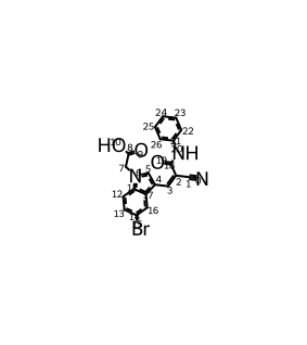 N#CC(=Cc1cn(CC(=O)O)c2ccc(Br)cc12)C(=O)Nc1ccccc1